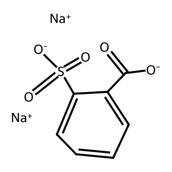 O=C([O-])c1ccccc1S(=O)(=O)[O-].[Na+].[Na+]